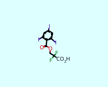 O=C(OCC(F)(F)C(=O)O)c1c(I)cc(I)cc1I